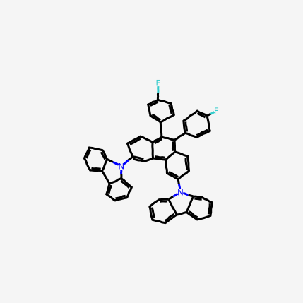 Fc1ccc(-c2c(-c3ccc(F)cc3)c3ccc(-n4c5ccccc5c5ccccc54)cc3c3cc(-n4c5ccccc5c5ccccc54)ccc23)cc1